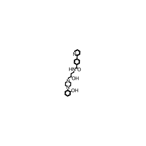 O=C(NCCC(O)CN1CCN(c2ccccc2O)CC1)c1ccc(-c2ccccn2)cc1